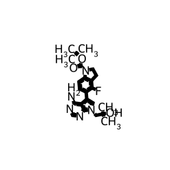 CC(C)(O)Cn1cc(-c2ccc3c(c2F)CCN3C(=O)OC(C)(C)C)c2c(N)ncnc21